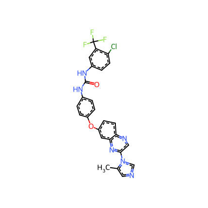 Cc1cncn1-c1cnc2ccc(Oc3ccc(NC(=O)Nc4ccc(Cl)c(C(F)(F)F)c4)cc3)cc2n1